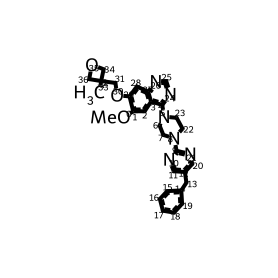 COc1cc2c(N3CCN(c4ncc(Cc5ccccc5)cn4)CC3)ncnc2cc1OCC1(C)COC1